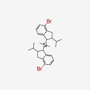 CC(C)C1Cc2c(Br)cccc2C1[Si](C)(C)C1c2cccc(Br)c2CC1C(C)C